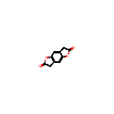 O=C1Cc2cc3c(cc2O1)CC(=O)O3